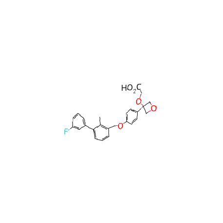 Cc1c(COc2ccc(C3(OCC(=O)O)COC3)cc2)cccc1-c1cccc(F)c1